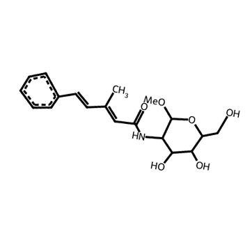 COC1OC(CO)C(O)C(O)C1NC(=O)/C=C(C)/C=C/c1ccccc1